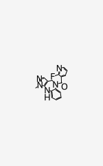 Cn1ncc2c1Nc1ccccc1N(C(=O)c1cccnc1F)C2